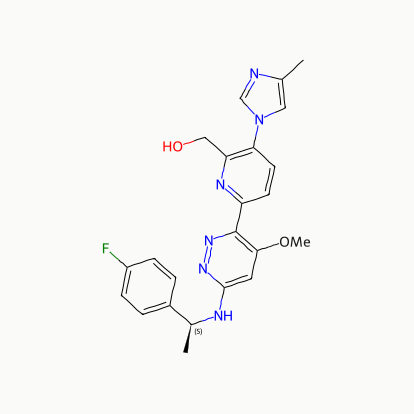 COc1cc(N[C@@H](C)c2ccc(F)cc2)nnc1-c1ccc(-n2cnc(C)c2)c(CO)n1